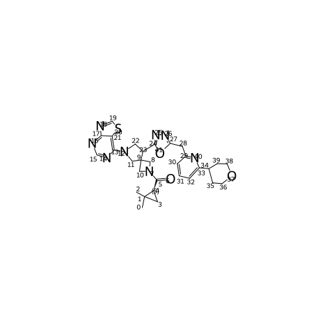 CC1(C)C[C@@H]1C(=O)N1CC2(C1)CN(c1ncnc3ncsc13)CC2c1nnc(Cc2cccc(C3CCOCC3)n2)o1